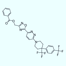 O=C(OCc1noc(-c2ccc(N3CCC(c4ccc(C(F)(F)F)cc4)(C(F)(F)F)CC3)nn2)n1)c1ccccc1